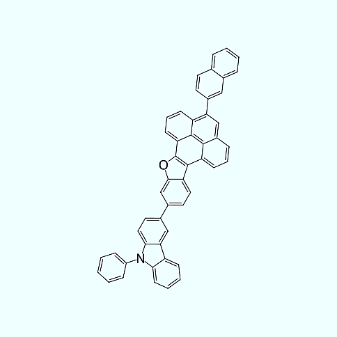 c1ccc(-n2c3ccccc3c3cc(-c4ccc5c(c4)oc4c6cccc7c(-c8ccc9ccccc9c8)cc8cccc(c54)c8c76)ccc32)cc1